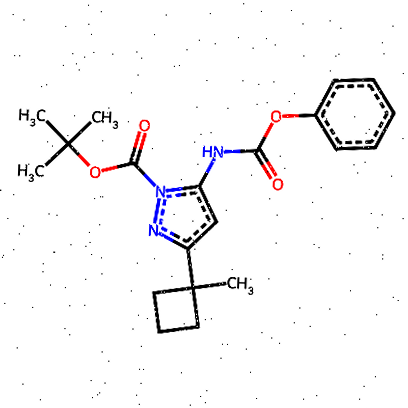 CC(C)(C)OC(=O)n1nc(C2(C)CCC2)cc1NC(=O)Oc1ccccc1